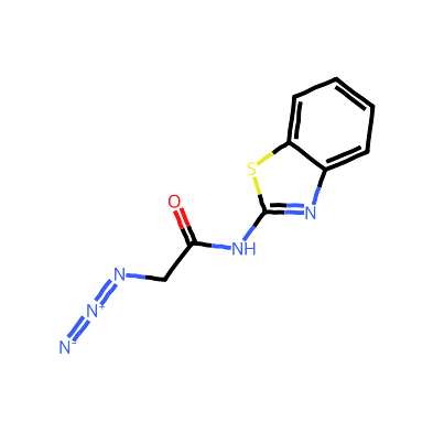 [N-]=[N+]=NCC(=O)Nc1nc2ccccc2s1